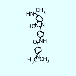 CC(=N)c1ccc2nc(-c3ccc(NC(=O)c4ccc(N(C)C)cc4)cc3)n(O)c2c1